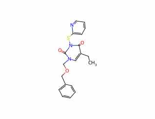 CCc1cn(COCc2ccccc2)c(=O)n(Sc2ccccn2)c1=O